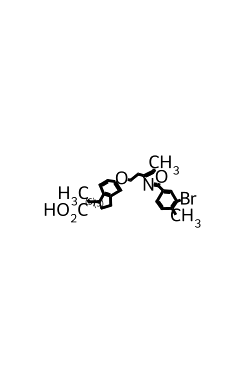 Cc1ccc(-c2nc(CCOc3ccc4c(c3)CC[C@H]4[C@H](C)C(=O)O)c(C)o2)cc1Br